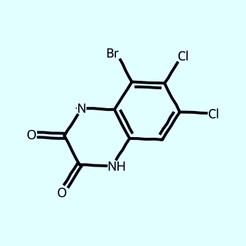 O=C1[N]c2c(cc(Cl)c(Cl)c2Br)NC1=O